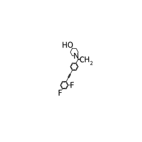 C=C(c1ccc(C#Cc2ccc(F)cc2F)cc1)N1CCC(O)CC1